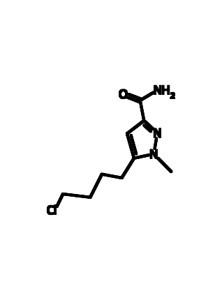 Cn1nc(C(N)=O)cc1CCCCCl